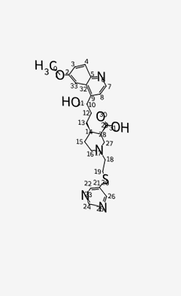 COc1ccc2nccc([C@@H](O)CC[C@@H]3CCN(CCSc4cncnc4)C[C@@H]3C(=O)O)c2c1